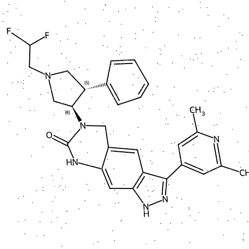 Cc1cc(-c2n[nH]c3cc4c(cc23)CN([C@H]2CN(CC(F)F)C[C@@H]2c2ccccc2)C(=O)N4)cc(C)n1